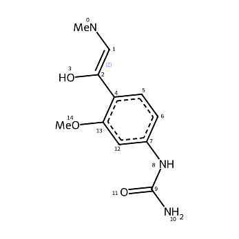 CN/C=C(\O)c1ccc(NC(N)=O)cc1OC